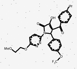 COCCOc1ccc(N2C(=O)C(O)=C(C(=O)c3ccc(C(C)C)cc3)C2c2ccc(OC(F)(F)F)cc2)nn1